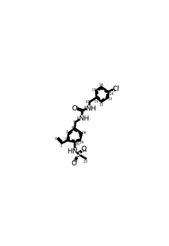 C=Cc1cc(CNC(=O)NCc2ccc(Cl)cc2)ccc1NS(C)(=O)=O